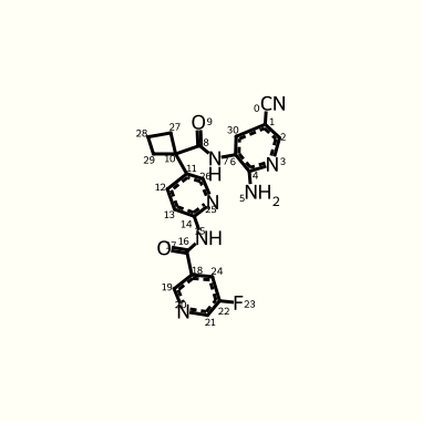 N#Cc1cnc(N)c(NC(=O)C2(c3ccc(NC(=O)c4cncc(F)c4)nc3)CCC2)c1